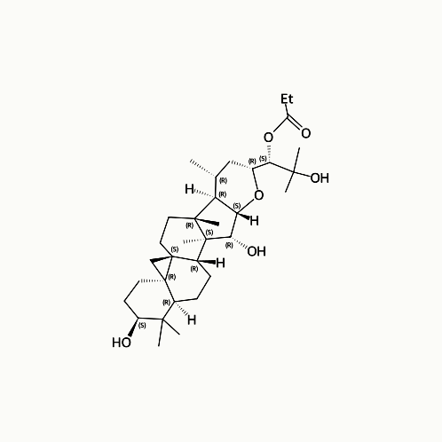 CCC(=O)O[C@@H]([C@H]1C[C@@H](C)[C@H]2[C@H](O1)[C@H](O)[C@@]1(C)[C@@H]3CC[C@H]4C(C)(C)[C@@H](O)CC[C@@]45C[C@@]35CC[C@]21C)C(C)(C)O